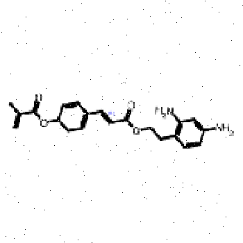 C=C(C)C(=O)OC1C=CC(/C=C/C(=O)OCCc2ccc(N)cc2N)=CC1